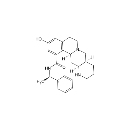 C[C@@H](NC(=O)c1cc(O)cc2c1[C@@H]1C[C@@H]3NCCC[C@@H]3CN1CC2)c1ccccc1